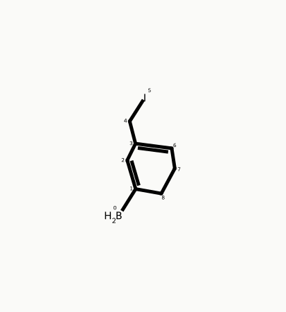 BC1=CC(CI)=CCC1